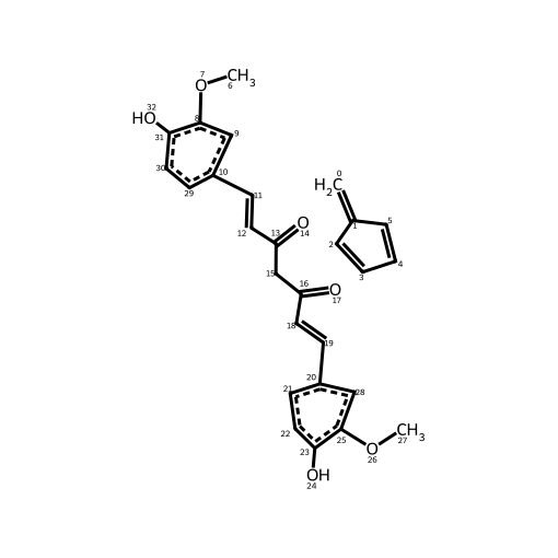 C=C1C=CC=C1.COc1cc(C=CC(=O)CC(=O)C=Cc2ccc(O)c(OC)c2)ccc1O